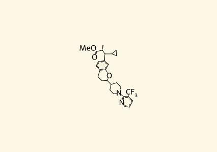 COC(=O)[C@@H](C)[C@H](c1ccc2c(c1)OC(C1CCN(c3ncccc3C(F)(F)F)CC1)CC2)C1CC1